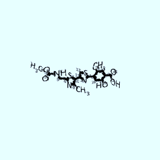 COC(=O)NCc1nc(C)c(-c2csc(-c3cc(O)c(C(=O)O)cc3C)n2)s1